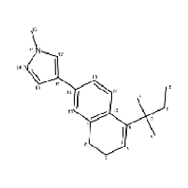 CCC(C)(C)C1=CCCc2cc(-c3cnn(C)c3)ccc21